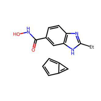 CCc1nc2ccc(C(=O)NO)cc2[nH]1.c1cc2cc-2c1